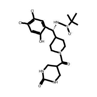 CC(C)(C)[S+]([O-])N[C@@H](c1cc(Cl)c(Cl)cc1O)C1CCN(C(=O)C2CNC(=O)NC2)CC1